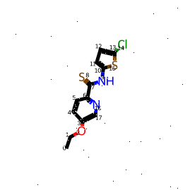 CCOc1ccc(C(=S)Nc2ccc(Cl)s2)nc1